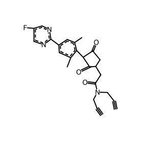 C#CCN(CC#C)C(=O)CC1CC(=O)C(c2c(C)cc(-c3ncc(F)cn3)cc2C)C1=O